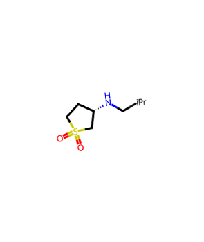 CC(C)CN[C@H]1CCS(=O)(=O)C1